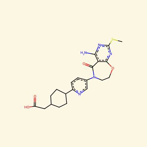 CSc1nc(N)c2c(n1)OCCN(c1ccc(C3CCC(CC(=O)O)CC3)nc1)C2=O